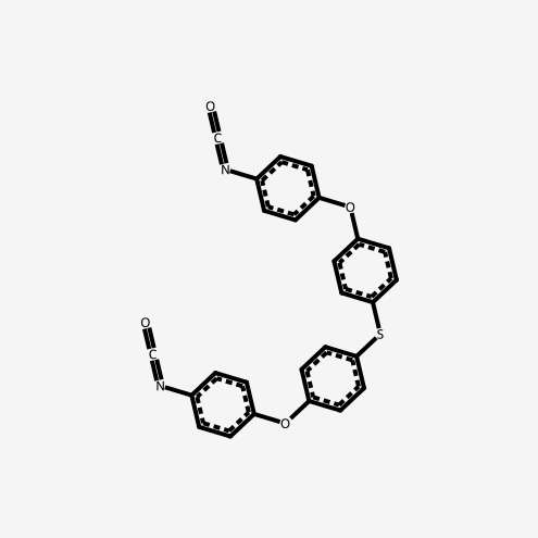 O=C=Nc1ccc(Oc2ccc(Sc3ccc(Oc4ccc(N=C=O)cc4)cc3)cc2)cc1